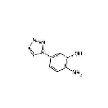 Nc1ccc(-n2ccnn2)cc1O